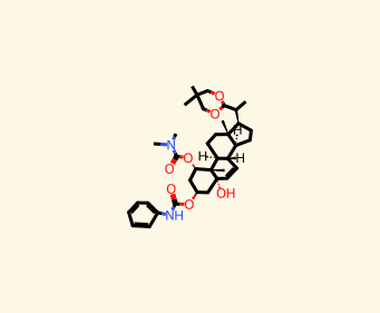 CC(C1OCC(C)(C)CO1)[C@H]1CC[C@H]2[C@@H]3C=C[C@@]4(O)C[C@@H](OC(=O)Nc5ccccc5)C[C@H](OC(=O)N(C)C)[C@]4(C)[C@H]3CC[C@]12C